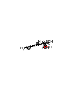 CCC(O)COCCCCOCC(O)CNCCNC(=O)C(CCS(=O)(=O)O)N(CC(=O)O)CC(=O)O